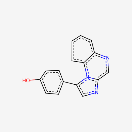 Oc1ccc(-c2cnc3cnc4ccccc4n23)cc1